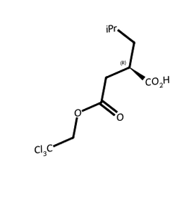 CC(C)C[C@H](CC(=O)OCC(Cl)(Cl)Cl)C(=O)O